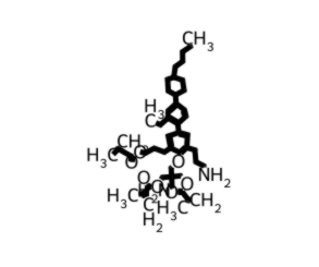 C=C(C)C(=O)OCCCc1cc(-c2ccc(C3CCC(CCCCC)CC3)cc2CC)cc(CCCN)c1OCC(CN)(COC(=O)C(=C)C)COC(=O)C(=C)C